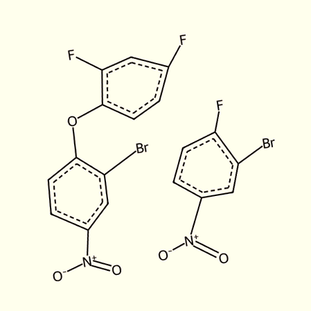 O=[N+]([O-])c1ccc(F)c(Br)c1.O=[N+]([O-])c1ccc(Oc2ccc(F)cc2F)c(Br)c1